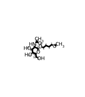 COCCCCO[C@@H]1OC(CO)[C@H](O)[C@H](O)C1NC(C)=O